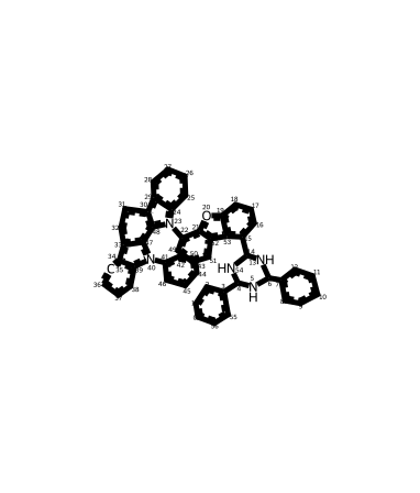 c1ccc(C2NC(c3ccccc3)NC(c3cccc4oc5c(-n6c7ccccc7c7ccc8c9ccccc9n(-c9ccccc9)c8c76)cccc5c34)N2)cc1